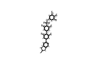 CC1Cc2ccc(-c3cc(F)c(-c4cc(F)c(C(F)(F)Oc5cc(F)c(F)c(F)c5)c(F)c4)c(F)c3)cc2C1